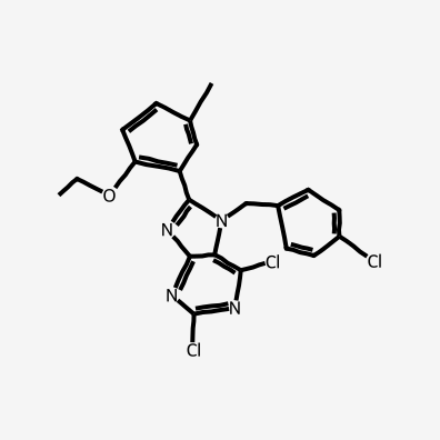 CCOc1ccc(C)cc1-c1nc2nc(Cl)nc(Cl)c2n1Cc1ccc(Cl)cc1